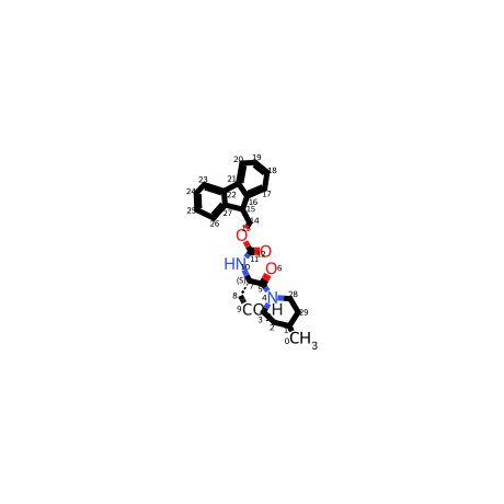 CC1CCN(C(=O)[C@H](CC(=O)O)NC(=O)OCC2c3ccccc3-c3ccccc32)CC1